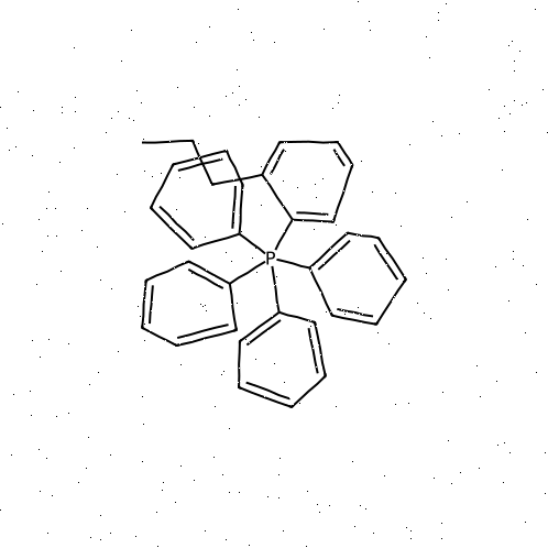 CCCc1ccccc1P(c1ccccc1)(c1ccccc1)(c1ccccc1)c1ccccc1